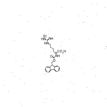 CCNC(=N)NCCCC[C@H](NC(=O)OCC1c2ccccc2-c2ccccc21)C(=O)O